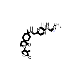 CC1=C(N2CCC3(CCC(C)(NCc4cnc(N(N)/C=N\N)cn4)CC3)C2=O)COC1=O